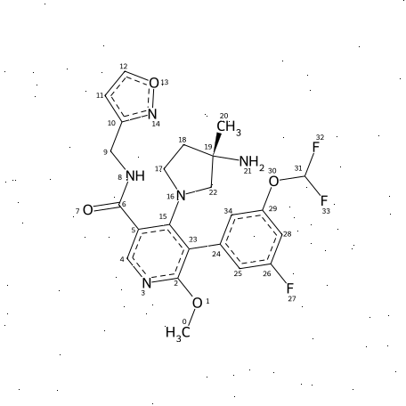 COc1ncc(C(=O)NCc2ccon2)c(N2CC[C@](C)(N)C2)c1-c1cc(F)cc(OC(F)F)c1